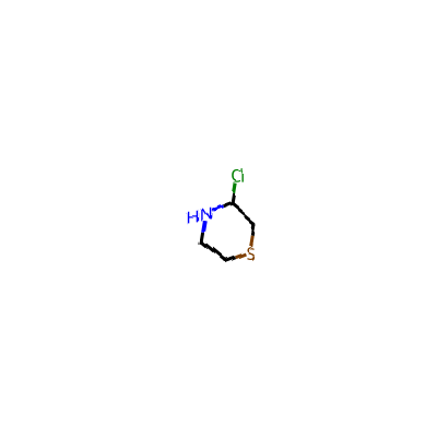 ClC1CSCCN1